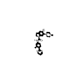 Cc1cc(NC(=O)N2CCc3cc(Cl)c(N4CCN(C)CC4)cc32)ccc1-c1ncccn1